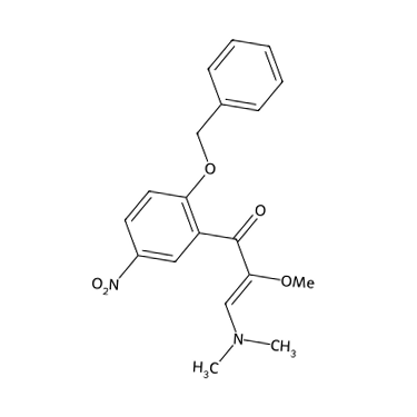 COC(=CN(C)C)C(=O)c1cc([N+](=O)[O-])ccc1OCc1ccccc1